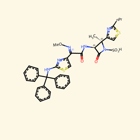 CCCc1nc([C@]2(C)[C@H](NC(=O)/C(=N/OC)c3csc(NC(c4ccccc4)(c4ccccc4)c4ccccc4)n3)C(=O)N2S(=O)(=O)O)cs1